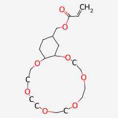 C=CC(=O)OCC1CCC2OCCOCCOCCOCCOCCOC2C1